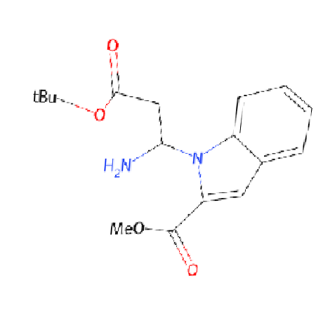 COC(=O)c1cc2ccccc2n1C(N)CC(=O)OC(C)(C)C